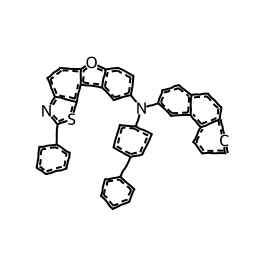 c1ccc(-c2ccc(N(c3ccc4ccc5ccccc5c4c3)c3ccc4oc5ccc6nc(-c7ccccc7)sc6c5c4c3)cc2)cc1